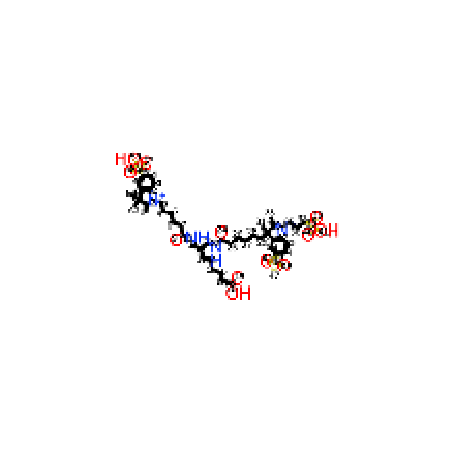 CC1=[N+](CCCCCC(=O)NCC(CCCCCC(=O)O)CNC(=O)CCCCCC2(C)C(C)=[N+](CCCS(=O)(=O)O)c3ccc(S(C)(=O)=O)cc32)c2ccc(S(=O)(=O)O)cc2C1(C)C